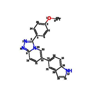 CC(C)Oc1ccc(-c2nnc3ccc(-c4ccc5[nH]ccc5c4)cn23)cc1